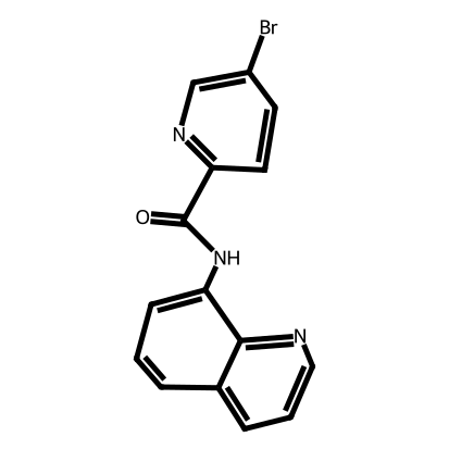 O=C(Nc1cccc2cccnc12)c1ccc(Br)cn1